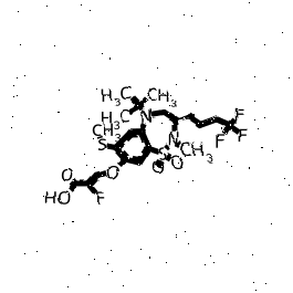 CSc1cc2c(cc1O/C=C(\F)C(=O)O)S(=O)(=O)N(C)[C@H](CCCC(F)(F)F)CN2C(C)(C)C